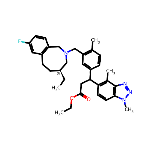 CCOC(=O)CC(c1ccc(C)c(CN2Cc3ccc(F)cc3CC[C@H](CC)C2)c1)c1ccc2c(nnn2C)c1C